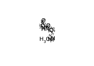 Cn1ccnc1CCc1cccc(NC(=O)c2cc(C=O)ccn2)c1